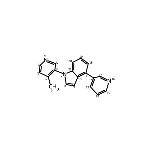 Cc1ccncc1-n1ccc2c(-c3cccnc3)cccc21